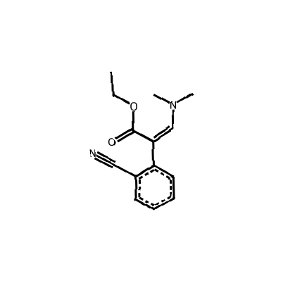 CCOC(=O)C(=CN(C)C)c1ccccc1C#N